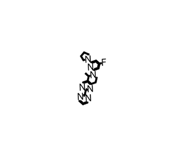 CC1c2cnc(-c3ncccn3)nc2CCN1c1cc(F)cc(N2CCCC2)n1